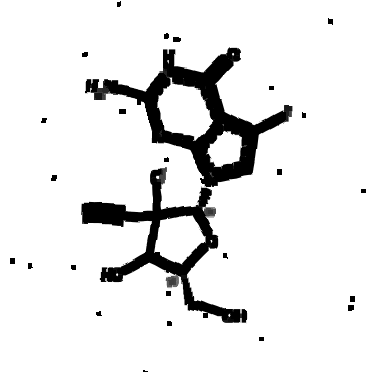 C#CC1(Cl)C(O)[C@@H](CO)O[C@H]1n1cc(F)c2c(=O)[nH]c(N)nc21